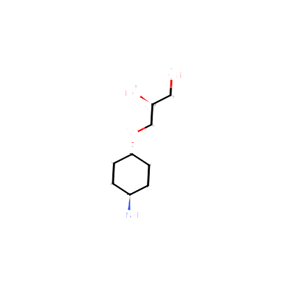 N[C@H]1CC[C@H](OC[C@@H](O)CO)CC1